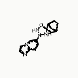 c1cn2cc(N3NO[C@@]4(CC5CCC4CC5)N3)ccc2n1